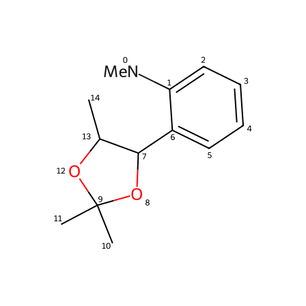 CNc1ccccc1C1OC(C)(C)OC1C